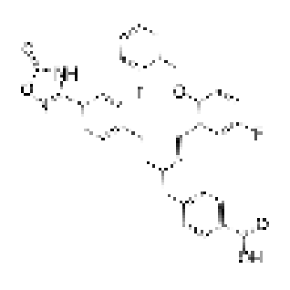 O=C(O)c1ccc(CC(C=Cc2cc(F)ccc2OCc2ccccc2F)CCc2ccc(-c3noc(=O)[nH]3)cc2)cc1